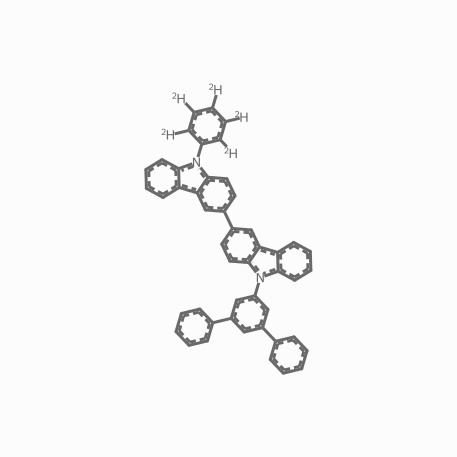 [2H]c1c([2H])c([2H])c(-n2c3ccccc3c3cc(-c4ccc5c(c4)c4ccccc4n5-c4cc(-c5ccccc5)cc(-c5ccccc5)c4)ccc32)c([2H])c1[2H]